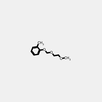 COCCOCOc1c[c]ccc1C